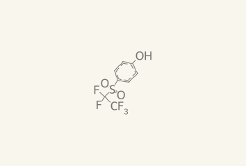 O=S(=O)(c1ccc(O)cc1)C(F)(F)C(F)(F)F